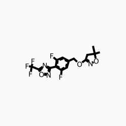 CC1(C)CC(OCc2cc(F)c(-c3noc(C(F)(F)F)n3)c(F)c2)=NO1